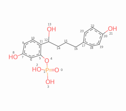 O=P(O)(O)Oc1cc(O)ccc1C(O)CCCc1ccc(O)cc1